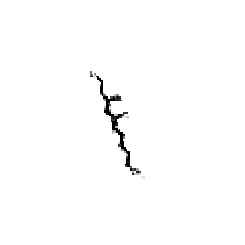 CCCCCCC(Cl)CC(Br)CCBr